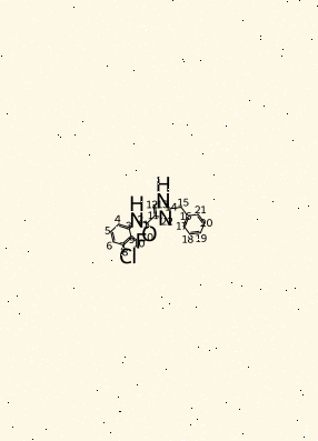 O=C(Nc1cccc(Cl)c1F)c1c[nH]c(Cc2ccccc2)n1